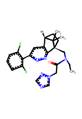 CCN(C[C@@]12CC[C@@H](c3cc(-c4c(F)cccc4F)nnc31)C2(C)C)C(=O)Cn1cncn1